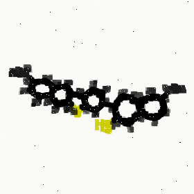 CCCCc1ccc2cc(S)c(-c3ccc4c(c3)sc3cc5ccc(CCCC)cc5cc34)cc2c1